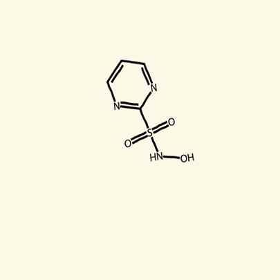 O=S(=O)(NO)c1ncccn1